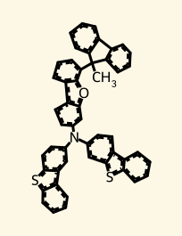 CC1(c2cccc3c2oc2cc(N(c4ccc5c(c4)sc4ccccc45)c4ccc5sc6ccccc6c5c4)ccc23)c2ccccc2-c2ccccc21